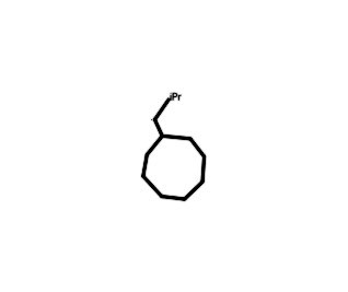 CC(C)[CH]C1CCCCCCC1